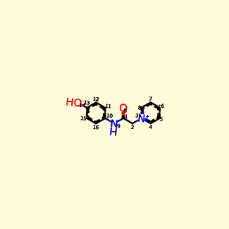 O=C(C[n+]1cc[c]cc1)Nc1ccc(O)cc1